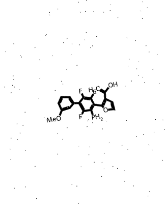 C=C(O)c1ccoc1-c1c(F)c(F)c(-c2cccc(OC)c2)c(F)c1P